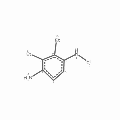 CCNc1ccc(N)c(CC)c1CC